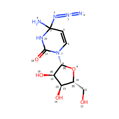 [N-]=[N+]=NC1(N)C=CN([C@@H]2O[C@H](CO)[C@@H](O)[C@H]2O)C(=O)N1